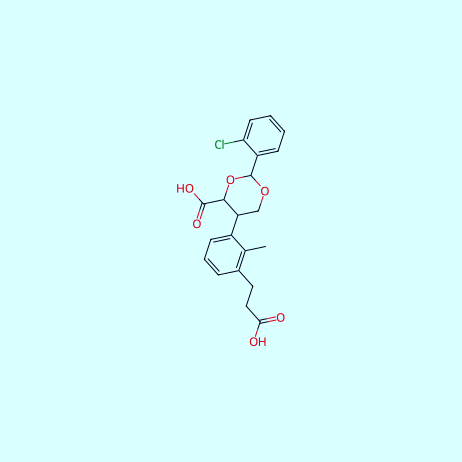 Cc1c(CCC(=O)O)cccc1C1COC(c2ccccc2Cl)OC1C(=O)O